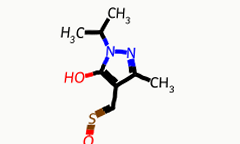 Cc1nn(C(C)C)c(O)c1C=S=O